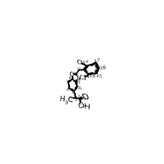 CC(C(=O)O)c1ccc2oc(Cc3c(Cl)cccc3Cl)nc2c1